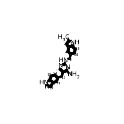 Cc1cc2cc(CNc3ncc(Cc4ccc5[nH]ncc5c4)c(N)n3)ccc2[nH]1